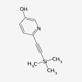 C[Si](C)(C)C#Cc1ccc(O)cn1